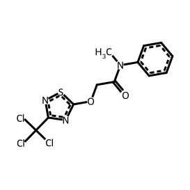 CN(C(=O)COc1nc(C(Cl)(Cl)Cl)ns1)c1ccccc1